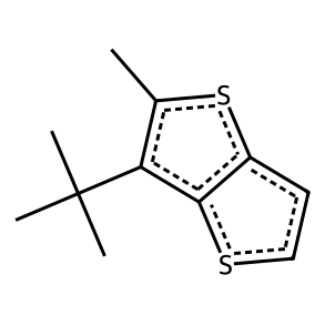 Cc1sc2ccsc2c1C(C)(C)C